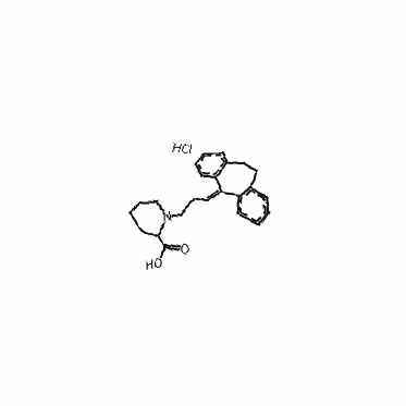 Cl.O=C(O)C1CCCCN1CCC=C1c2ccccc2CCc2ccccc21